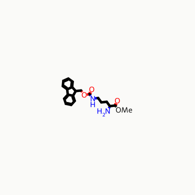 COC(=O)C(N)CCCNC(=O)OCC1c2ccccc2-c2ccccc21